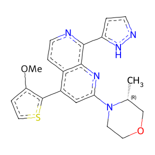 COc1ccsc1-c1cc(N2CCOC[C@H]2C)nc2c(-c3ccn[nH]3)nccc12